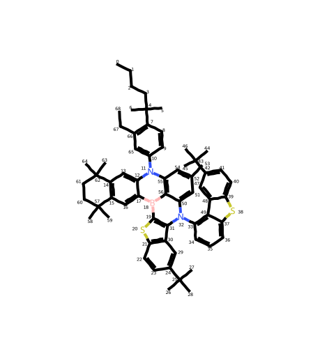 CCCCC(C)(C)c1ccc(N2c3cc4c(cc3B3c5sc6ccc(C(C)(C)C)cc6c5N(c5cccc6sc7ccc(C(C)(C)C)cc7c56)c5cc(C)cc2c53)C(C)(C)CCC4(C)C)cc1CC